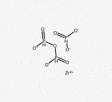 O=[PH]([O-])O[PH](=O)[O-].O=[PH]([O-])[O-].[Zr+4]